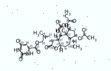 CC(=O)O[C@H]1C[C@H](OC(C)=O)[C@]2(C)[C@@H]1[C@H](C)C[C@@H]1OC(=O)[C@H](CN(C)COC(=O)c3cc(=O)[nH]c(=O)[nH]3)[C@H]1[C@@H]2OC(C)=O